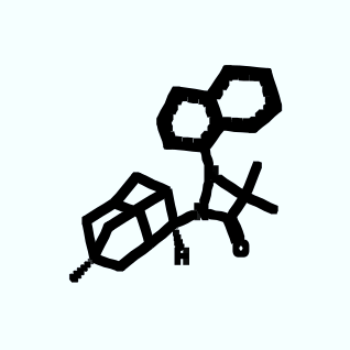 CC1(C)C(=O)N([C@H]2C3CC4CC2C[C@](C)(C4)C3)N1c1cccc2ccccc12